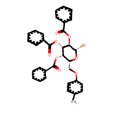 Cc1ccc(OC[C@H]2O[C@@H](S)[C@H](OC(=O)c3ccccc3)[C@@H](OC(=O)c3ccccc3)[C@H]2OC(=O)c2ccccc2)cc1